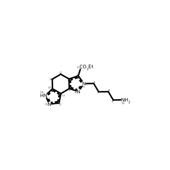 CCOC(=O)c1c2c(nn1CCCCN)-c1cn[nH]c1CC2